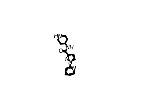 O=C(NC1CCNCC1)c1ccn(-c2ccccn2)n1